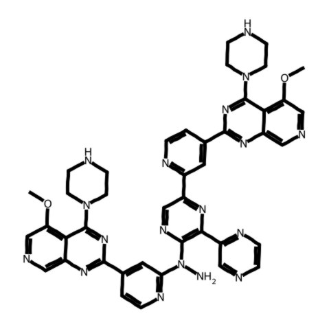 COc1cncc2nc(-c3ccnc(-c4cnc(N(N)c5cc(-c6nc(N7CCNCC7)c7c(OC)cncc7n6)ccn5)c(-c5cnccn5)n4)c3)nc(N3CCNCC3)c12